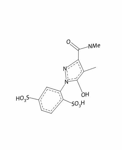 CNC(=O)c1nn(-c2cc(S(=O)(=O)O)ccc2S(=O)(=O)O)c(O)c1C